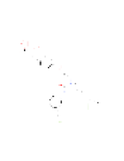 CCOC(Cc1ccc(OCCN(CCCCC(F)(F)C(F)(F)F)C(=O)Nc2cccc(C(F)(F)F)c2)cc1)C(=O)O